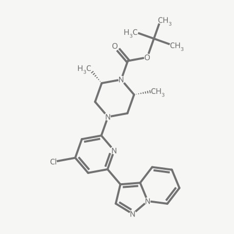 C[C@@H]1CN(c2cc(Cl)cc(-c3cnn4ccccc34)n2)C[C@H](C)N1C(=O)OC(C)(C)C